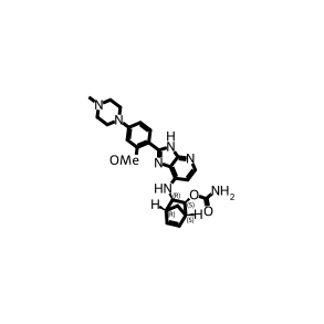 COc1cc(N2CCN(C)CC2)ccc1-c1nc2c(N[C@H]3[C@@H](OC(N)=O)[C@@H]4C=C[C@H]3C4)ccnc2[nH]1